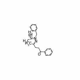 CC(CCC(=O)c1ccccc1)=NN(Cc1ccccc1)[SiH](C)C